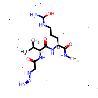 CNC(=O)[C@H](CCCNC(N)O)NC(=O)[C@@H](NC(=O)CNN=N)C(C)C